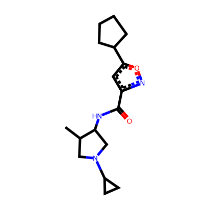 CC1CN(C2CC2)CC1NC(=O)c1cc(C2CCCC2)on1